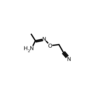 CC(N)=NOCC#N